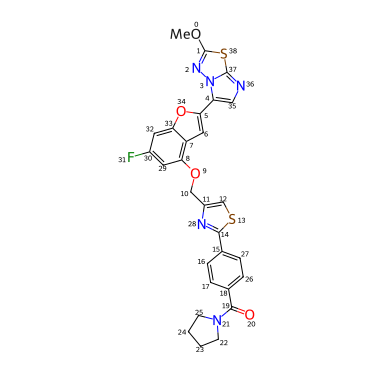 COc1nn2c(-c3cc4c(OCc5csc(-c6ccc(C(=O)N7CCCC7)cc6)n5)cc(F)cc4o3)cnc2s1